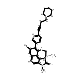 C[C@H]1COc2c(-c3ccc(C#CCCN4CCCCC4)nc3)c(F)cc3ncc4c(c23)n1c(=O)n4C